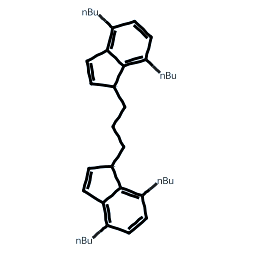 CCCCc1ccc(CCCC)c2c1C=C[C]2CCC[C]1C=Cc2c(CCCC)ccc(CCCC)c21